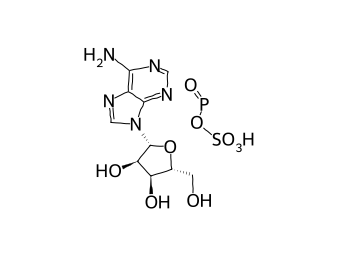 Nc1ncnc2c1ncn2[C@@H]1O[C@H](CO)[C@@H](O)[C@H]1O.O=POS(=O)(=O)O